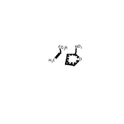 C=CC(=O)O.O=[N+]([O-])c1ccco1